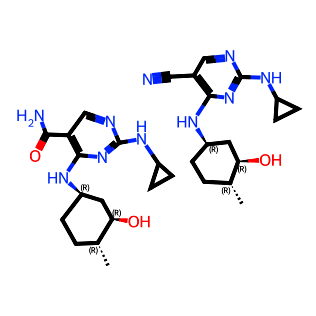 C[C@@H]1CC[C@@H](Nc2nc(NC3CC3)ncc2C#N)C[C@H]1O.C[C@@H]1CC[C@@H](Nc2nc(NC3CC3)ncc2C(N)=O)C[C@H]1O